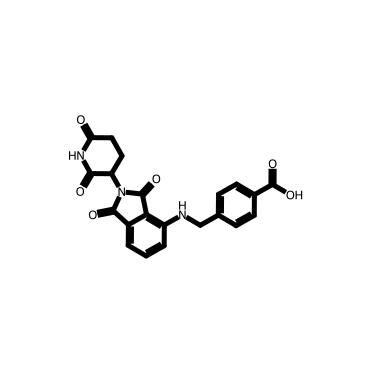 O=C1CCC(N2C(=O)c3cccc(NCc4ccc(C(=O)O)cc4)c3C2=O)C(=O)N1